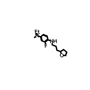 CCN(C)c1ccc(NCCCC2CCCO2)c(F)c1